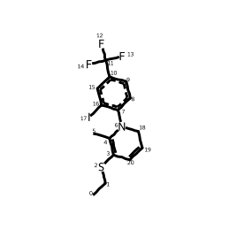 CCSC1=C(C)N(c2ccc(C(F)(F)F)cc2I)CC=C1